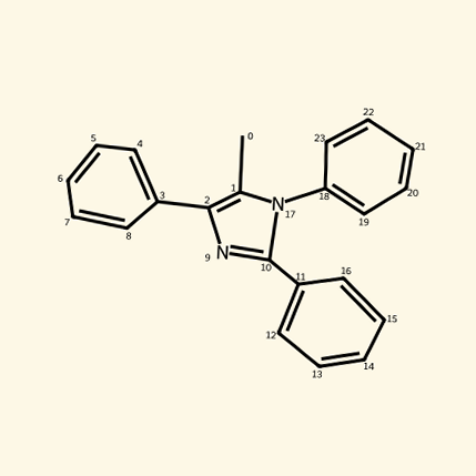 Cc1c(-c2ccccc2)nc(-c2ccccc2)n1-c1ccccc1